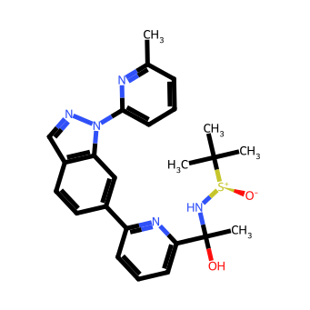 Cc1cccc(-n2ncc3ccc(-c4cccc(C(C)(O)N[S@+]([O-])C(C)(C)C)n4)cc32)n1